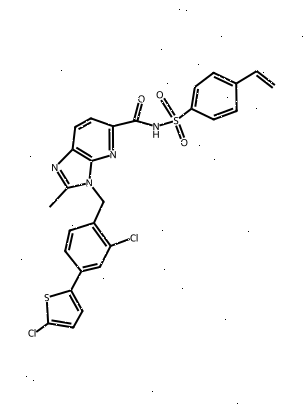 C=Cc1ccc(S(=O)(=O)NC(=O)c2ccc3nc(C)n(Cc4ccc(-c5ccc(Cl)s5)cc4Cl)c3n2)cc1